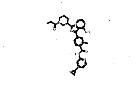 CCC(=O)N1CCCC(c2nc(-c3ccc(C(=O)Nc4cc(C5CC5)ccn4)c(C)c3)c3c(N)nccn23)C1